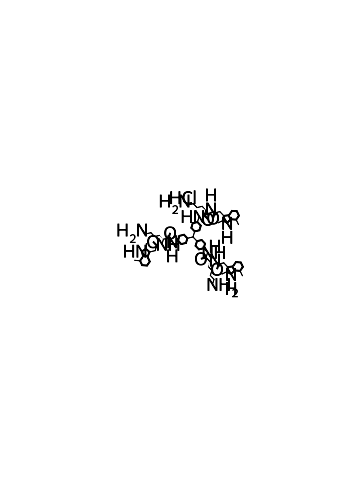 Cc1[nH]c2c(C)cccc2c1CC(=O)N[C@H](CCCCN)C(=O)Nc1ccc(C(c2ccc(NC(=O)[C@@H](CCCCN)NC(=O)Cc3c(C)[nH]c4c(C)cccc34)cc2)c2ccc(NC(=O)[C@@H](CCCCN)NC(=O)Cc3c(C)[nH]c4c(C)cccc34)cc2)cc1.Cl